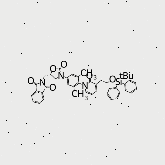 Cc1cc(N2C[C@H](CN3C(=O)c4ccccc4C3=O)OC2=O)cc(C)c1-n1cccc(CCO[Si](c2ccccc2)(c2ccccc2)C(C)(C)C)c1=O